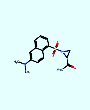 COC(=O)[C@@H]1CN1S(=O)(=O)c1cccc2cc(N(C)C)ccc12